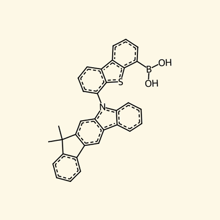 CC1(C)c2ccccc2-c2cc3c4ccccc4n(-c4cccc5c4sc4c(B(O)O)cccc45)c3cc21